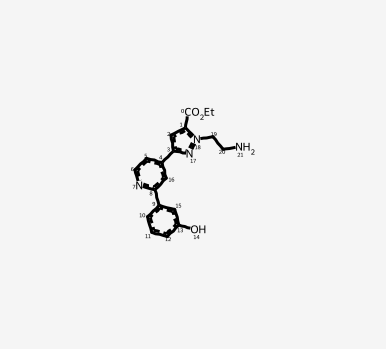 CCOC(=O)c1cc(-c2ccnc(-c3cccc(O)c3)c2)nn1CCN